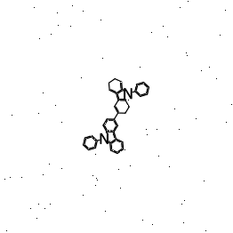 C1=C(c2ccc3c(c2)c2ccccc2n3-c2ccccc2)CCc2c1c1c(n2-c2ccccc2)=CCCC=1